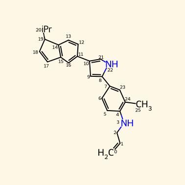 C=CCNc1ccc(-c2cc(-c3ccc4c(c3)C=CC4C(C)C)c[nH]2)cc1C